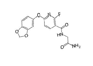 NC(=O)CNC(=O)c1ccc(Oc2ccc3c(c2)OCO3)nc1F